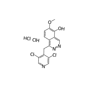 COc1ccc2c(Cc3c(Cl)cncc3Cl)nncc2c1O.Cl.Cl